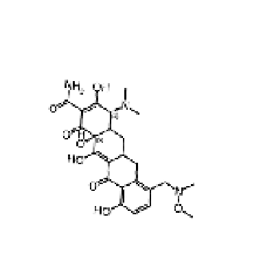 CON(C)Cc1ccc(O)c2c1CC1CC3[C@H](N(C)C)C(O)=C(C(N)=O)C(=O)[C@@]3(O)C(O)=C1C2=O